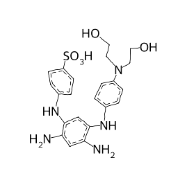 Nc1cc(N)c(Nc2ccc(S(=O)(=O)O)cc2)cc1Nc1ccc(N(CCO)CCO)cc1